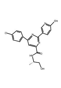 C[C@@H](CO)NC(=O)c1cc(-c2ccc(Cl)cc2)nc(-c2ccc(O)nc2)n1